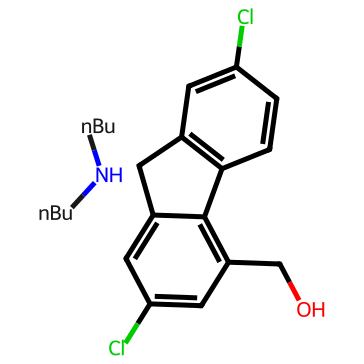 CCCCNCCCC.OCc1cc(Cl)cc2c1-c1ccc(Cl)cc1C2